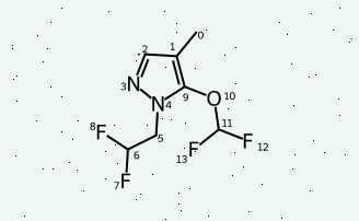 Cc1[c]nn(CC(F)F)c1OC(F)F